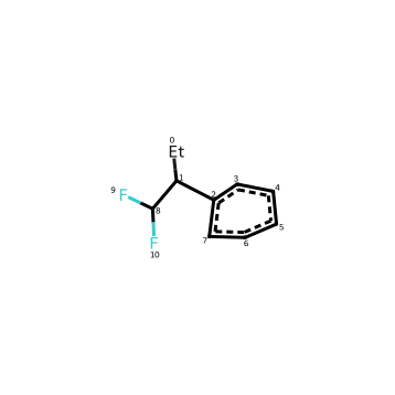 CCC(c1ccccc1)C(F)F